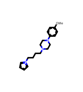 COc1ccc(N2CCN(CCCCn3cccc3)CC2)cc1